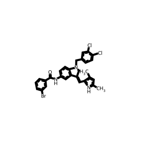 Cc1cc(C)c(C=C2CN(Cc3ccc(Cl)c(Cl)c3)c3ccc(NC(=O)c4cccc(Br)c4)cc32)[nH]1